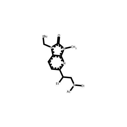 CCC(CN(CC)C(C)=O)c1ccc2c(n1)n(C)c(=O)n2CC(C)(C)C